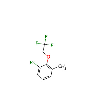 Cc1cccc(Br)c1OCC(F)(F)F